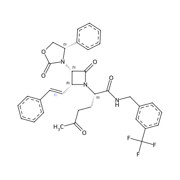 CC(=O)CC[C@@H](C(=O)NCc1cccc(C(F)(F)F)c1)N1C(=O)[C@@H](N2C(=O)OC[C@@H]2c2ccccc2)[C@H]1/C=C/c1ccccc1